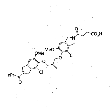 C=C(COc1c(OC)cc2c(c1Cl)CN(C(=O)CCC)C2)COc1c(OC)cc2c(c1Cl)CN(C(=O)CCC(=O)O)C2